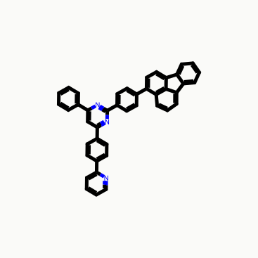 c1ccc(-c2cc(-c3ccc(-c4ccccn4)cc3)nc(-c3ccc(-c4ccc5c6c(cccc46)-c4ccccc4-5)cc3)n2)cc1